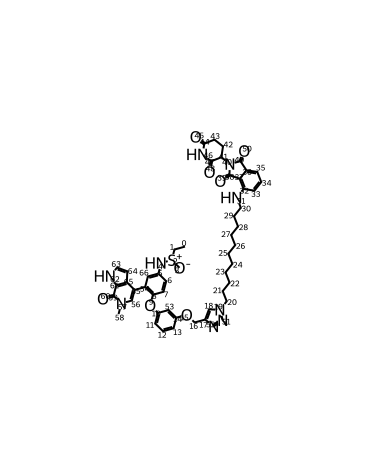 CC[S+]([O-])Nc1ccc(Oc2cccc(OCc3cn(CCCCCCCCCCCNc4cccc5c4C(=O)N(C4CCC(=O)NC4=O)C5=O)nn3)c2)c(-c2cn(C)c(=O)c3[nH]ccc23)c1